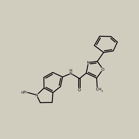 CCCN1CCc2cc(NC(=O)c3nc(-c4ccccc4)oc3C)ccc21